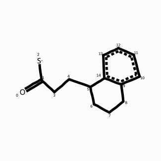 O=C([S])CCC1CCCc2ccccc21